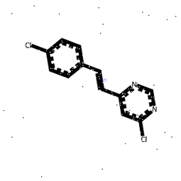 Clc1ccc(/C=C/c2cc(Cl)ncn2)cc1